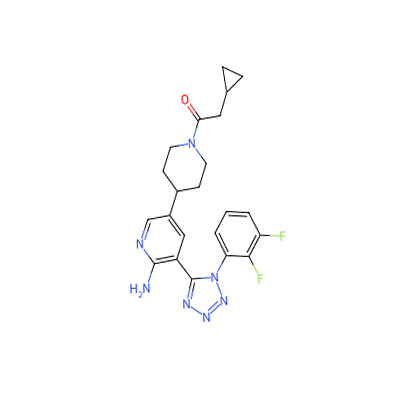 Nc1ncc(C2CCN(C(=O)CC3CC3)CC2)cc1-c1nnnn1-c1cccc(F)c1F